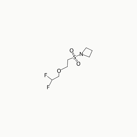 O=S(=O)(CCOCC(F)F)N1CCC1